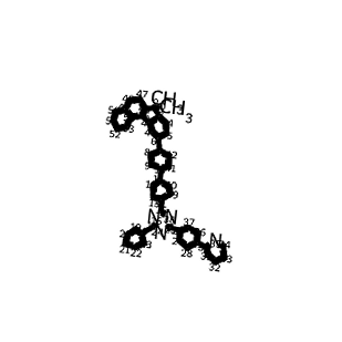 CC1(C)c2ccc(-c3ccc(-c4ccc(-c5nc(-c6ccccc6)nc(-c6ccc(-c7ccccn7)cc6)n5)cc4)cc3)cc2-c2c1ccc1ccccc21